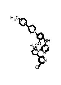 COc1cc(N2CCC(N3CCN(C)CC3)CC2)ccc1Nc1cc(N2OCCC2c2cncc(Cl)c2)ncn1